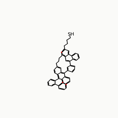 SCCCCCCCCCCc1ccc2c(-c3ccccc3-c3ccccc3)c3ccccc3c(-c3cccc(-c4cc5ccccc5c5ccccc45)c3)c2c1